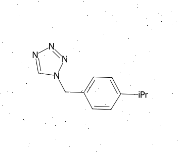 CC(C)c1ccc(Cn2cnnn2)cc1